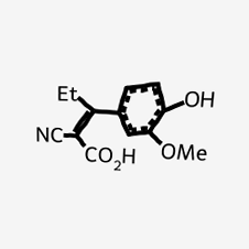 CCC(=C(C#N)C(=O)O)c1ccc(O)c(OC)c1